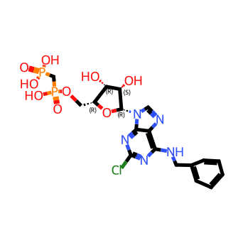 O=P(O)(O)CP(=O)(O)OC[C@H]1O[C@@H](n2cnc3c(NCc4ccccc4)nc(Cl)nc32)[C@@H](O)[C@H]1O